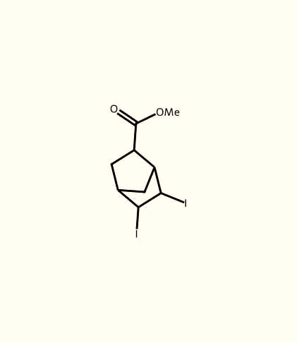 COC(=O)C1CC2CC1C(I)C2I